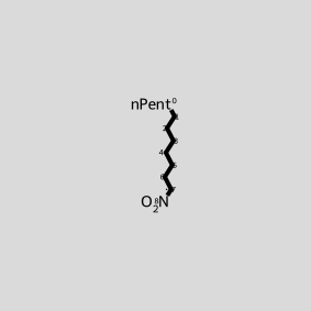 CCCCCCCCCCC[CH][N+](=O)[O-]